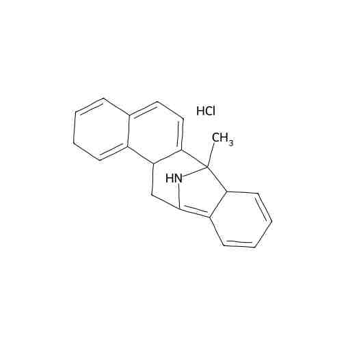 CC12NC(=C3C=CC=CC31)CC1C3=CCC=CC3=CC=C12.Cl